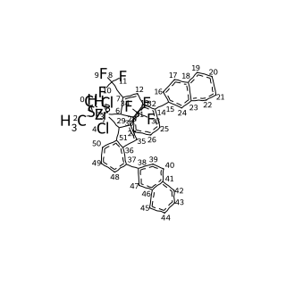 C[SiH](C)[Zr]([Cl])([Cl])([CH]1C(C(F)(F)F)=Cc2c(-c3ccc4ccccc4c3)cccc21)[CH]1C(C(F)(F)F)=Cc2c(-c3ccc4ccccc4c3)cccc21